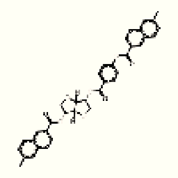 Cc1ccc2cc(C(=O)Oc3ccc(C(=O)O[C@@H]4CO[C@H]5[C@@H]4OC[C@H]5OC(=O)c4ccc5cc(C)ccc5c4)cc3)ccc2c1